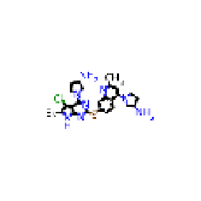 CCc1[nH]c2nc(Sc3ccc4c(N5CC[C@@H](N)C5)cc(C)nc4c3)nc(N3CC[C@H](N)C3)c2c1Cl